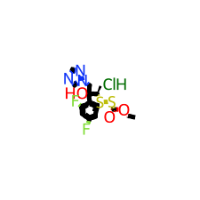 CCOC(=O)SS[C@H](C)[C@](O)(Cn1cncn1)c1ccc(F)cc1F.Cl